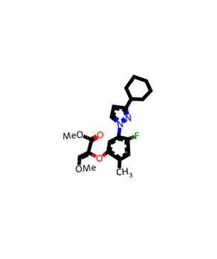 CO/C=C(\Oc1cc(-n2ccc(C3CCCCC3)n2)c(F)cc1C)C(=O)OC